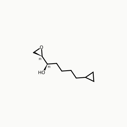 O[C@H](CCCCC1CC1)[C@H]1CO1